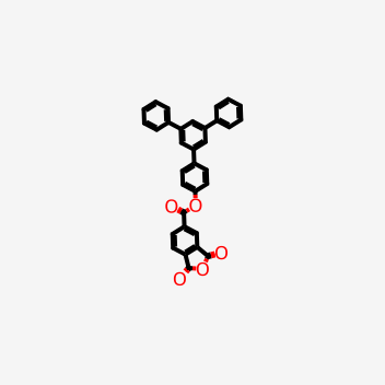 O=C(Oc1ccc(-c2cc(-c3ccccc3)cc(-c3ccccc3)c2)cc1)c1ccc2c(c1)C(=O)OC2=O